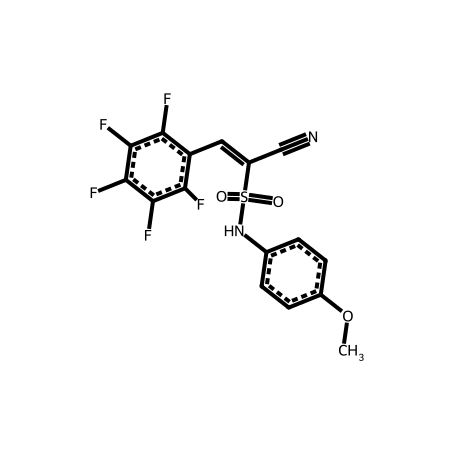 COc1ccc(NS(=O)(=O)/C(C#N)=C\c2c(F)c(F)c(F)c(F)c2F)cc1